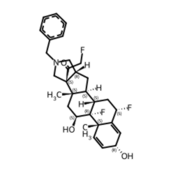 C[C@]12C=C[C@@H](O)C=C1[C@@H](F)C[C@H]1[C@@H]3C[C@H]4CN(Cc5ccccc5)C[C@@]4(C(=O)CF)[C@@]3(C)C[C@H](O)[C@@]12F